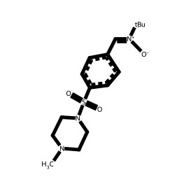 CN1CCN(S(=O)(=O)c2ccc(C=[N+]([O-])C(C)(C)C)cc2)CC1